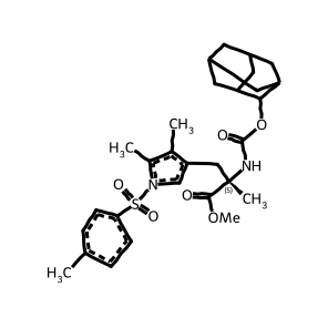 COC(=O)[C@](C)(Cc1cn(S(=O)(=O)c2ccc(C)cc2)c(C)c1C)NC(=O)OC1C2CC3CC(C2)CC1C3